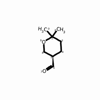 CC1(C)CC[C@@H](C=O)CO1